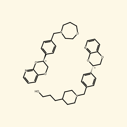 OCCCC1CCN(Cc2ccc([C@H]3COc4cccnc4O3)cc2)CC1.c1cnc2c(c1)OC[C@H](c1ccc(CN3CCCOCC3)cc1)O2